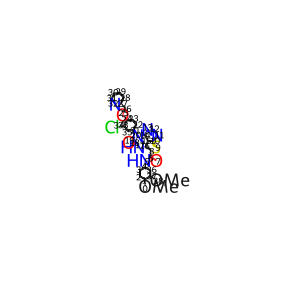 COc1ccc(NC(=O)c2sc3ncnc4c3c2NC(=O)N4c2ccc(OCc3ccccn3)c(Cl)c2)cc1OC